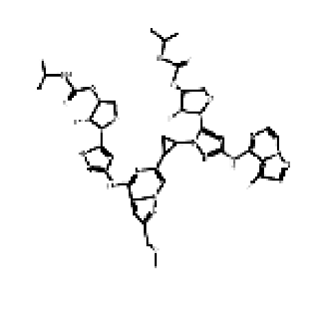 COCc1cc2c(Nc3cc([C@@H]4OC[C@H](OC(=O)NC(C)C)[C@H]4F)[nH]n3)nc(C3CC3n3nc(Nc4nccn5ncc(Br)c45)cc3[C@@H]3OC[C@H](OC(=O)NC(C)C)[C@@H]3F)cn2n1